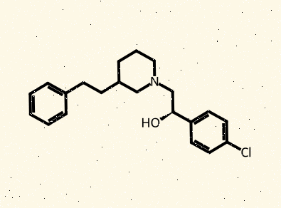 O[C@@H](CN1CCCC(CCc2ccccc2)C1)c1ccc(Cl)cc1